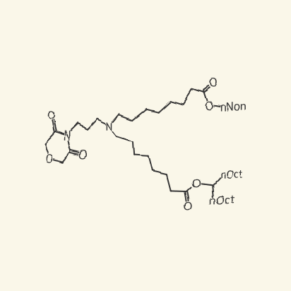 CCCCCCCCCOC(=O)CCCCCCCN(CCCCCCCC(=O)OC(CCCCCCCC)CCCCCCCC)CCCN1C(=O)COCC1=O